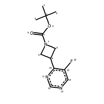 CC(C)(C)OC(=O)N1CC(c2ncncc2F)C1